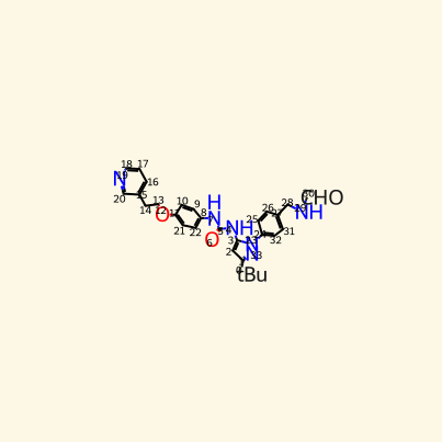 CC(C)(C)c1cc(NC(=O)Nc2ccc(OCCc3cccnc3)cc2)n(-c2ccc(CNC=O)cc2)n1